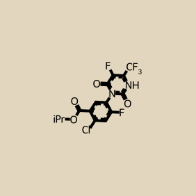 CC(C)OC(=O)c1cc(-n2c(=O)[nH]c(C(F)(F)F)c(F)c2=O)c(F)cc1Cl